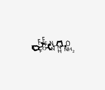 NC(=O)[C@@H]1CC[C@H](c2ncc(OC(c3ccccc3F)C(F)(F)F)cn2)N1